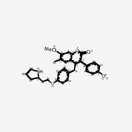 COc1cc2oc(=O)c(-c3ccc(C(F)(F)F)cc3)c(Cc3ccc(OCCC4CCCN4)cc3)c2cc1C